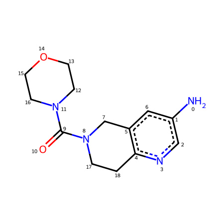 Nc1cnc2c(c1)CN(C(=O)N1CCOCC1)CC2